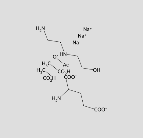 CC(=O)O.CC(=O)O.CC(=O)[O-].NC(CCC(=O)[O-])C(=O)[O-].NCCNCCO.[Na+].[Na+].[Na+]